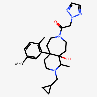 COc1ccc(C)c(C23CCN(C(=O)Cn4nccn4)CCC2(O)C(C)N(CC2CC2)CC3)c1